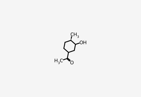 CC(=O)C1CC[C@@H](C)C(O)C1